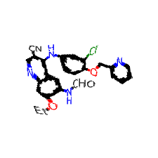 CCOc1cc2ncc(C#N)c(Nc3ccc(OCc4ccccn4)c(Cl)c3)c2cc1NC=O